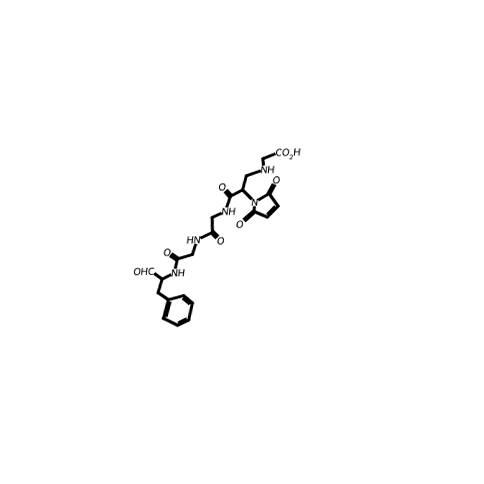 O=CC(Cc1ccccc1)NC(=O)CNC(=O)CNC(=O)C(CNCC(=O)O)N1C(=O)C=CC1=O